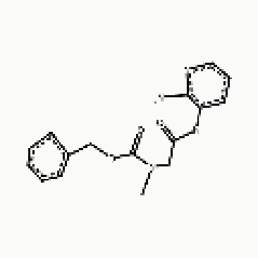 CN(CC(=O)Nc1cccnc1N)C(=O)OCc1ccccc1